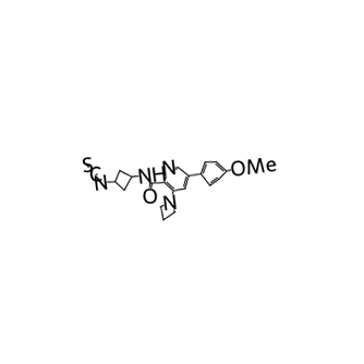 COc1ccc(-c2cnc(C(=O)NC3CC(N=C=S)C3)c(N3CCC3)c2)cc1